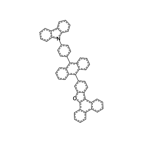 c1ccc2c(-c3ccc4c(c3)oc3c5ccccc5c5ccccc5c43)c3ccccc3c(-c3ccc(-n4c5ccccc5c5ccccc54)cc3)c2c1